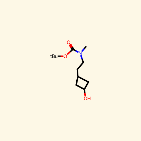 CN(CCC1CC(O)C1)C(=O)OC(C)(C)C